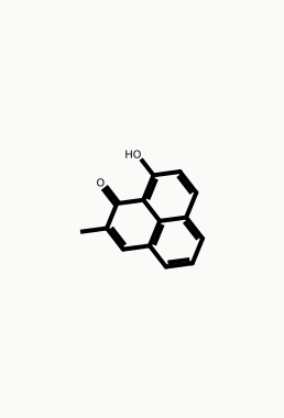 CC1=Cc2cccc3ccc(O)c(c23)C1=O